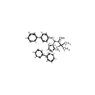 CC(C)(C)C(O)C(Oc1ccc(-c2ccccc2)cc1)n1cncn1.c1ccc(-c2ccccc2)cc1